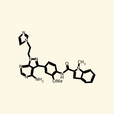 COc1cc(-c2nn(CCn3ccnc3)c3ncnc(N)c23)ccc1NC(=O)c1cc2ccccc2n1C